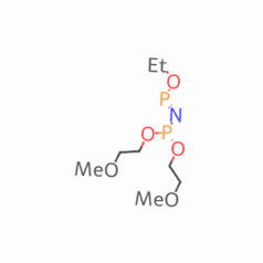 CCOP=NP(OCCOC)OCCOC